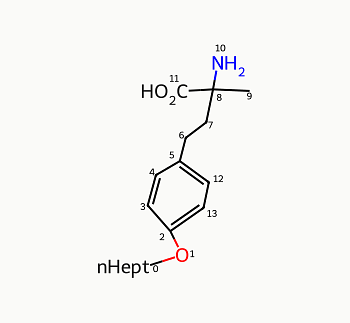 CCCCCCCOc1ccc(CCC(C)(N)C(=O)O)cc1